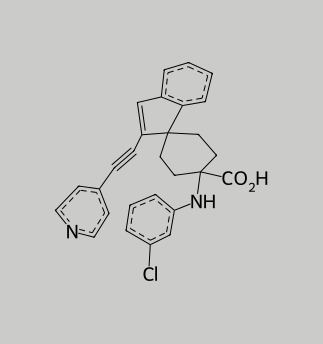 O=C(O)C1(Nc2cccc(Cl)c2)CCC2(CC1)C(C#Cc1ccncc1)=Cc1ccccc12